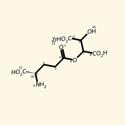 N[C@@H](CCC(=O)OC(C(=O)O)C(O)C(=O)O)C(=O)O.[Zr]